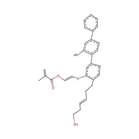 C=C(C)C(=O)O/C=C/Oc1cc(-c2ccc(-c3ccccc3)cc2CCC)ccc1CC/C=C/CCO